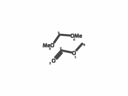 COC=O.COCOC